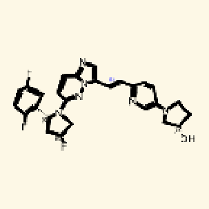 O[C@H]1CCN(c2ccc(/C=C/c3cnc4ccc(N5C[C@@H](F)C[C@@H]5c5cc(F)ccc5F)nn34)nc2)C1